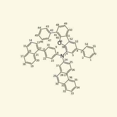 c1ccc(-c2cc(N(c3ccc(-c4cccc5ccccc45)cc3)c3ccc4c(ccc5ccccc54)c3)c3oc4c(-c5ccccc5)cccc4c3c2)cc1